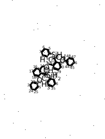 CC(C)([SiH2]c1ccccc1)c1c(COCc2cccc(Oc3ccccc3)c2C(C)(C)[SiH2]c2ccccc2)cccc1Oc1ccccc1